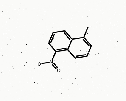 Cc1cccc2c([N+](=O)[O-])cccc12